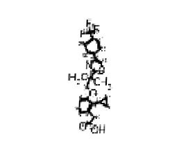 CC(C)(COc1cccc(CC(=O)O)c1C1CC1)c1nc(-c2ccc(C(F)(F)F)cc2)co1